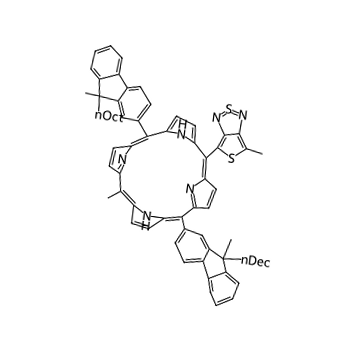 CCCCCCCCCCC1(C)c2ccccc2-c2ccc(-c3c4nc(c(-c5sc(C)c6c5N=S=N6)c5ccc([nH]5)c(-c5ccc6c(c5)C(C)(CCCCCCCC)c5ccccc5-6)c5nc(c(C)c6ccc3[nH]6)C=C5)C=C4)cc21